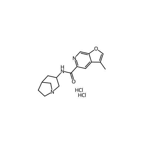 Cc1coc2cnc(C(=O)NC3CC4CCN(C4)C3)cc12.Cl.Cl